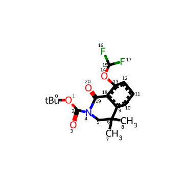 CC(C)(C)OC(=O)N1CC(C)(C)c2cccc(OC(F)F)c2C1=O